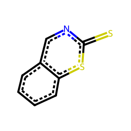 S=c1ncc2ccccc2s1